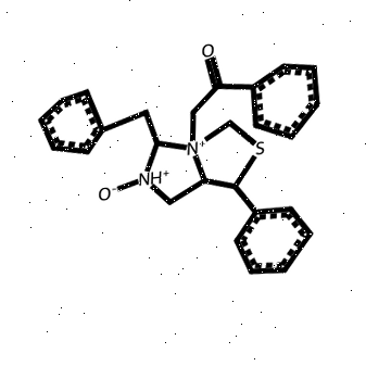 O=C(C[N+]12CSC(c3ccccc3)C1C[NH+]([O-])C2Cc1ccccc1)c1ccccc1